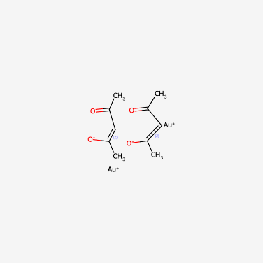 CC(=O)/C=C(/C)[O-].CC(=O)/C=C(/C)[O-].[Au+].[Au+]